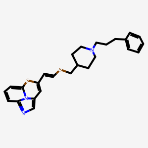 C1=C(/C=C/SCC2CCN(CCCc3ccccc3)CC2)Sc2cccc3ncc1n23